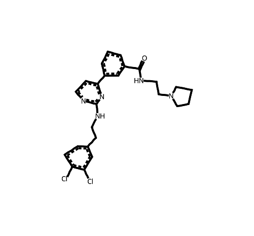 O=C(NCCN1CCCC1)c1cccc(-c2ccnc(NCCc3ccc(Cl)c(Cl)c3)n2)c1